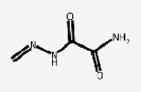 C=NNC(=O)C(N)=O